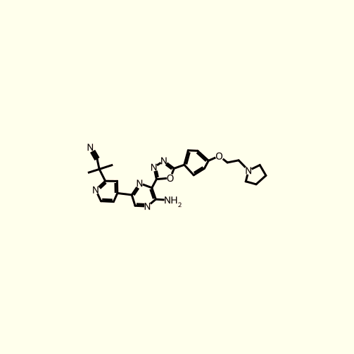 CC(C)(C#N)c1cc(-c2cnc(N)c(-c3nnc(-c4ccc(OCCN5CCCC5)cc4)o3)n2)ccn1